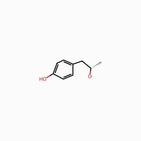 C[C@H]([O])Cc1ccc(O)cc1